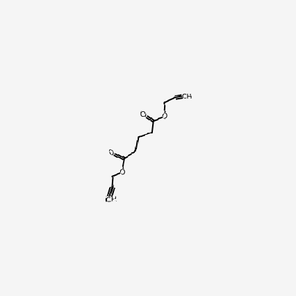 C#CCOC(=O)CCCC(=O)OCC#C